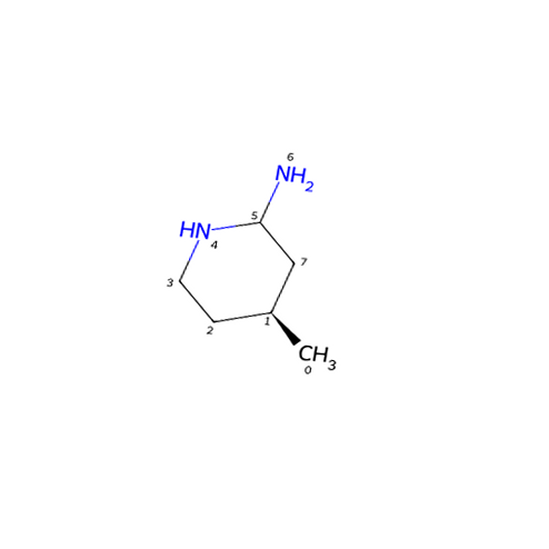 C[C@H]1CCNC(N)C1